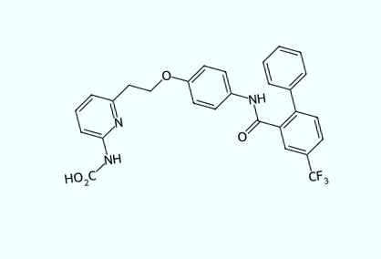 O=C(O)Nc1cccc(CCOc2ccc(NC(=O)c3cc(C(F)(F)F)ccc3-c3ccccc3)cc2)n1